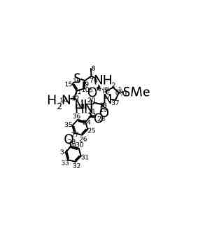 CS[C@@H]1C[C@@H](C(=O)NC(C)c2cc(C(=N)N)cs2)N(C(=O)CNC(=O)c2ccc(Oc3ccccc3)cc2)C1